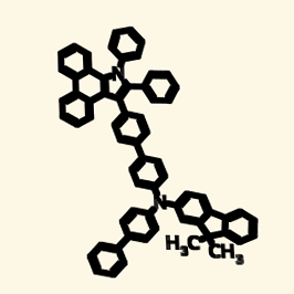 CC1(C)c2ccccc2-c2ccc(N(c3ccc(-c4ccccc4)cc3)c3ccc(-c4ccc(-c5c(-c6ccccc6)n(-c6ccccc6)c6c7ccccc7c7ccccc7c56)cc4)cc3)cc21